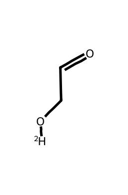 [2H]OCC=O